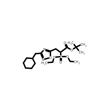 CCOP(=O)(OCC)C(Cc1nc(CC2CCCCC2)no1)C(=O)OC(C)(C)C